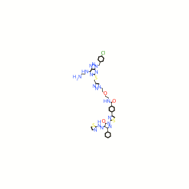 NCCNc1nc(SCc2cn(CCOCCNC(=O)c3ccc(-c4csc(N5N=C(c6ccccc6)C(=NNc6nccs6)C5=O)n4)cc3)nn2)nc2c1nnn2Cc1ccc(Cl)cc1